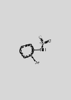 CC(=O)c1ccccc1N[SH](=O)=O